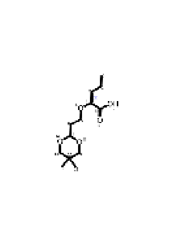 CC/C=C(/OCCC1OCC(C)(C)CO1)C(=O)O